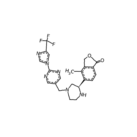 Cc1c([C@@H]2CN(Cc3cnc(-n4cnc(C(F)(F)F)c4)nc3)CCN2)ccc2c1COC2=O